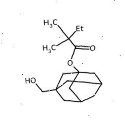 CCC(C)(C)C(=O)OC12CC3CC(CC(CO)(C3)C1)C2